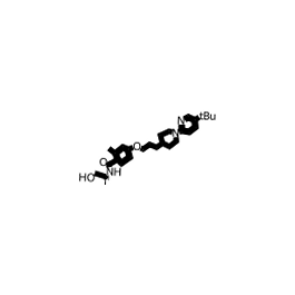 Cc1cc(OCCCC2CCN(c3ccc(C(C)(C)C)cn3)CC2)ccc1C(=O)N[C@H](C)CO